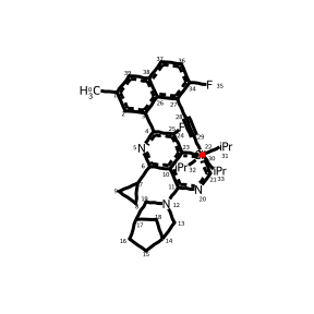 Cc1cc(-c2nc(C3CC3)c3c(N4CC5CCC(C5)C4)ncnc3c2F)c2c(C#C[Si](C(C)C)(C(C)C)C(C)C)c(F)ccc2c1